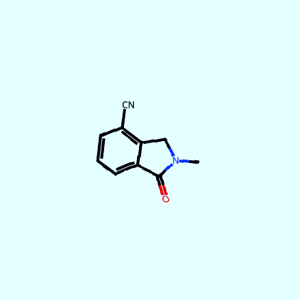 CN1Cc2c(C#N)cccc2C1=O